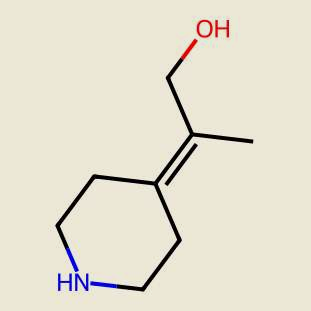 CC(CO)=C1CCNCC1